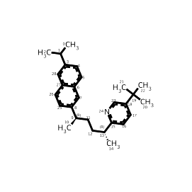 CC(C)c1ccc2cc([C@H](C)CC[C@@H](C)c3ccc(C(C)(C)C)cn3)ccc2c1